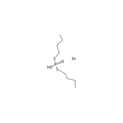 CCCCSP(=O)(O)SCCCC.[Zn]